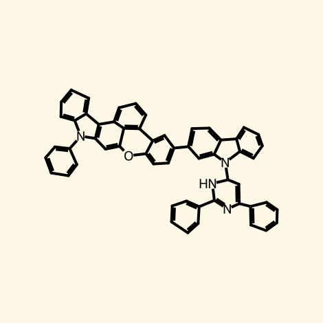 C1=C(c2ccccc2)N=C(c2ccccc2)NC1n1c2ccccc2c2ccc(-c3ccc4c(c3)-c3cccc5c3c(cc3c5c5ccccc5n3-c3ccccc3)O4)cc21